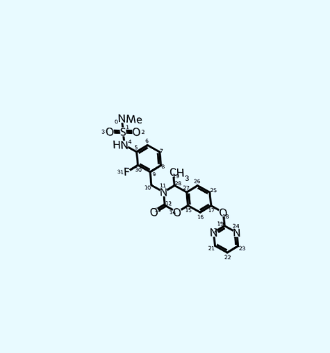 CNS(=O)(=O)Nc1cccc(CN2C(=O)Oc3cc(Oc4ncccn4)ccc3C2C)c1F